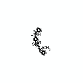 CCN1C(=CC=C2SC(=S)N(c3ccc(NNC(=O)c4ccccc4)cc3)C2=O)Sc2ccccc21